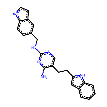 Nc1nc(NCc2ccc3[nH]ccc3c2)ncc1CCc1cc2ccccc2[nH]1